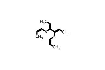 C/C=C\SC(=C\C)/C(=C/C)S/C=C\C